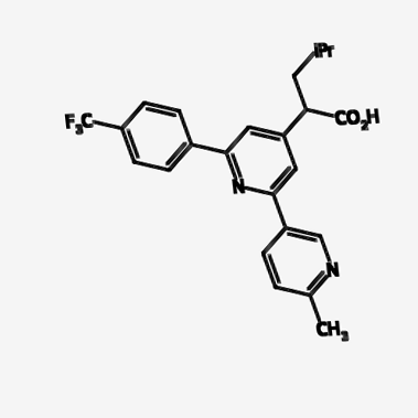 Cc1ccc(-c2cc(C(CC(C)C)C(=O)O)cc(-c3ccc(C(F)(F)F)cc3)n2)cn1